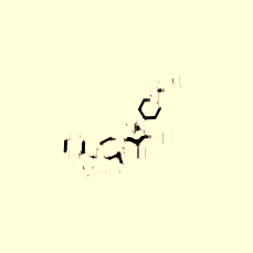 COC[C@@]1(C)CN(C[C@@H]2COCCO2)CCN1c1nn(C2CCN(C(=O)OC(C)(C)C)CC2)c(C)c1I